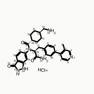 Cc1cnccc1-c1ccc(C[C@@H](C(N)=O)N(c2ccc3c(=O)[nH][nH]c3c2)C(=O)[C@H]2CC[C@H](CN)CC2)cc1.Cl